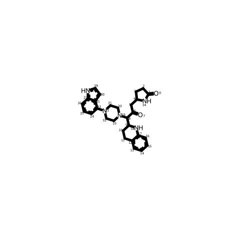 O=C1CCC(CC(=O)C(C2CCc3ccccc3N2)N2CCN(c3cccc4[nH]ccc34)CC2)N1